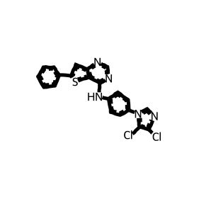 Clc1ncn(-c2ccc(Nc3ncnc4cc(-c5ccccc5)sc34)cc2)c1Cl